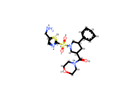 NCc1cnc(S(=O)(=O)N2CC(C(=O)N3CCOCC3)CC(c3ccccc3)C2)s1